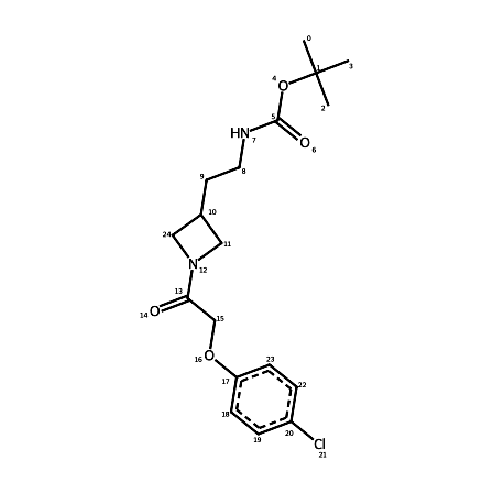 CC(C)(C)OC(=O)NCCC1CN(C(=O)COc2ccc(Cl)cc2)C1